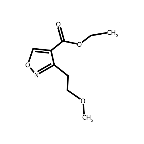 CCOC(=O)c1conc1CCOC